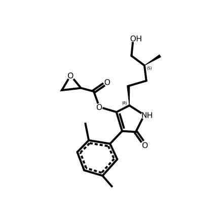 Cc1ccc(C)c(C2=C(OC(=O)C3CO3)[C@@H](CC[C@H](C)CO)NC2=O)c1